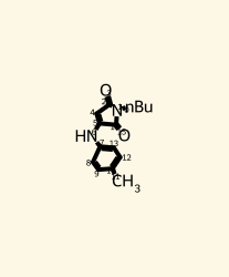 CCCCN1C(=O)C=C(Nc2ccc(C)cc2)C1=O